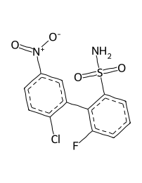 NS(=O)(=O)c1cccc(F)c1-c1cc([N+](=O)[O-])ccc1Cl